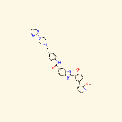 COc1ncccc1-c1ccc(O)c(-c2nc3cc(C(=O)Nc4ccc(CCN5CCN(c6ncccn6)CC5)cc4)ccc3[nH]2)c1